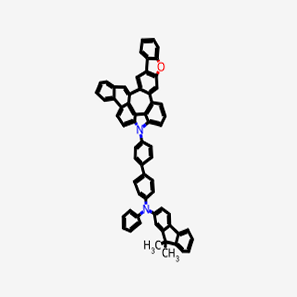 CC1(C)c2ccccc2-c2ccc(N(c3ccccc3)c3ccc(-c4ccc(-n5c6cccc7c6c6c8c(cc9ccccc9c8ccc65)-c5cc6c(cc5-7)oc5ccccc56)cc4)cc3)cc21